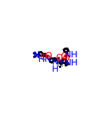 CC[C@@H]1CN(C(=O)c2cc3cc(NC(=O)c4cc5ccc(N(CC)CC)cc5o4)ccc3[nH]2)C2=CC(OC(=O)Nc3ccccc3)c3[nH]cc(C)c3C21